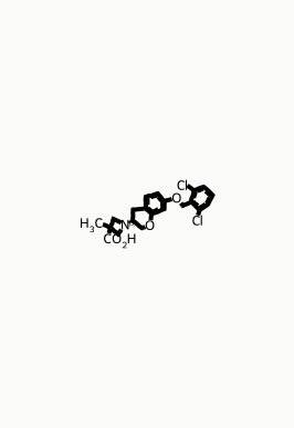 CC1(C(=O)O)CN([C@@H]2COc3cc(OCc4c(Cl)cccc4Cl)ccc3C2)C1